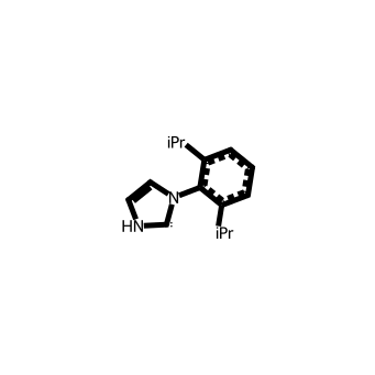 CC(C)c1cccc(C(C)C)c1N1[C]NC=C1